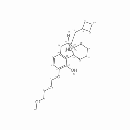 COCCOCOc1ccc2c(c1O)[C@@]13CCCC[C@@]1(O)[C@@H](C2)N(CC1CCC1)CC3